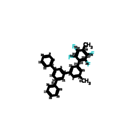 Cc1cc(-c2cc(-c3ccccc3)cc(-c3ccccc3)c2)cc(-c2c(F)c(F)c(C)c(F)c2F)c1